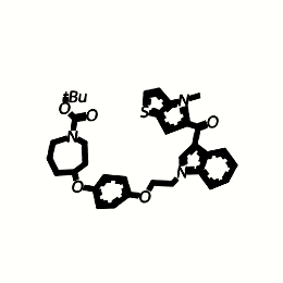 Cn1c(C(=O)c2cn(CCOc3ccc(OC4CCCN(C(=O)OC(C)(C)C)CC4)cc3)c3ccccc23)cc2sccc21